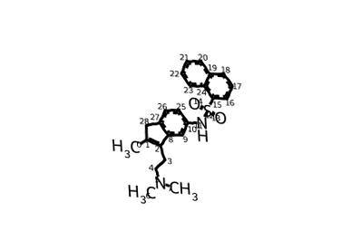 CC1=C(CCN(C)C)c2cc(NS(=O)(=O)c3cccc4ccccc34)ccc2C1